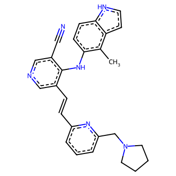 Cc1c(Nc2c(C#N)cncc2C=Cc2cccc(CN3CCCC3)n2)ccc2[nH]ccc12